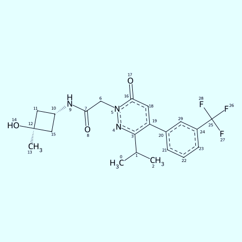 CC(C)c1nn(CC(=O)N[C@H]2C[C@](C)(O)C2)c(=O)cc1-c1cccc(C(F)(F)F)c1